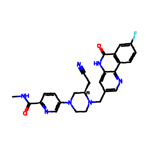 CNC(=O)c1ccc(N2CCN(Cc3cnc4c(c3)[nH]c(=O)c3cc(F)ccc34)[C@H](CC#N)C2)cn1